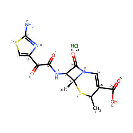 CC1S[C@@H]2C(NC(=O)C(=O)c3csc(N)n3)C(=O)N2C=C1C(=O)O.Cl